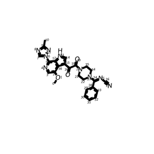 COc1cnc(-n2cnc(C)n2)c2[nH]cc(C(=O)C(=O)N3CCN(/C(=N/C#N)c4ccccc4)CC3)c12